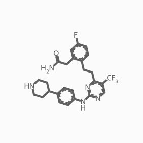 NC(=O)Cc1cc(F)ccc1CCc1nc(Nc2ccc(C3CCNCC3)cc2)ncc1C(F)(F)F